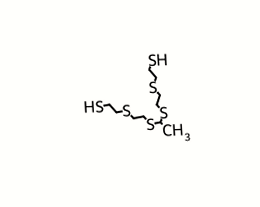 CC(SCCSCCS)SCCSCCS